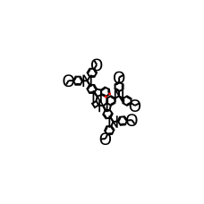 COc1ccc(N(c2ccc(OC)cc2)c2ccc3c(c2)c2ccccc2n3C2CCC2n2c3ccc(N(c4ccc(OC)cc4)c4ccc(OC)cc4)cc3c3cc(N(c4ccc(OC)cc4)c4ccc(OC)cc4)ccc32)cc1